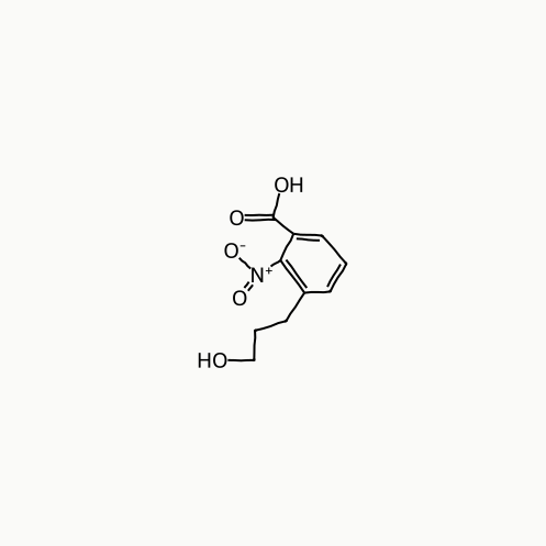 O=C(O)c1cccc(CCCO)c1[N+](=O)[O-]